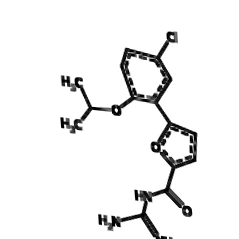 CC(C)Oc1ccc(Cl)cc1-c1ccc(C(=O)NC(=N)N)o1